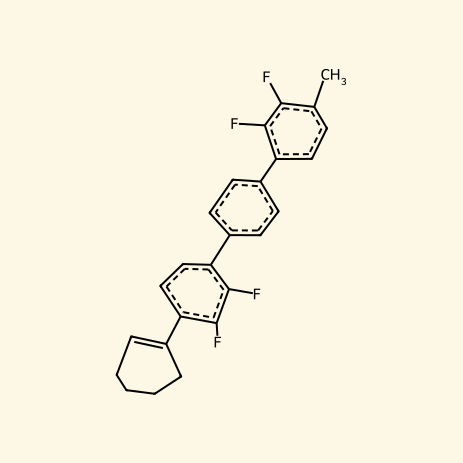 Cc1ccc(-c2ccc(-c3ccc(C4=CCCCC4)c(F)c3F)cc2)c(F)c1F